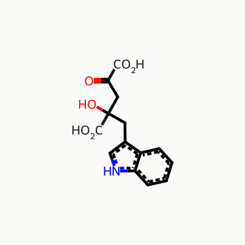 O=C(O)C(=O)CC(O)(Cc1c[nH]c2ccccc12)C(=O)O